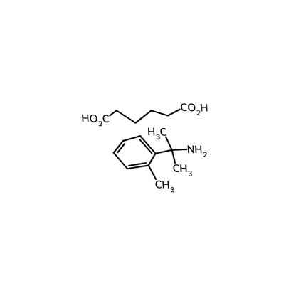 Cc1ccccc1C(C)(C)N.O=C(O)CCCCC(=O)O